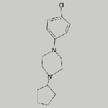 Clc1ccc(N2CCN(C3CCCC3)CC2)cc1